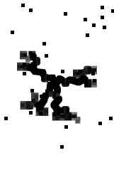 N=C(CCOCC(COCCC(=N)NO)(COCCC(=N)ON)COCCC(=N)ON)NO